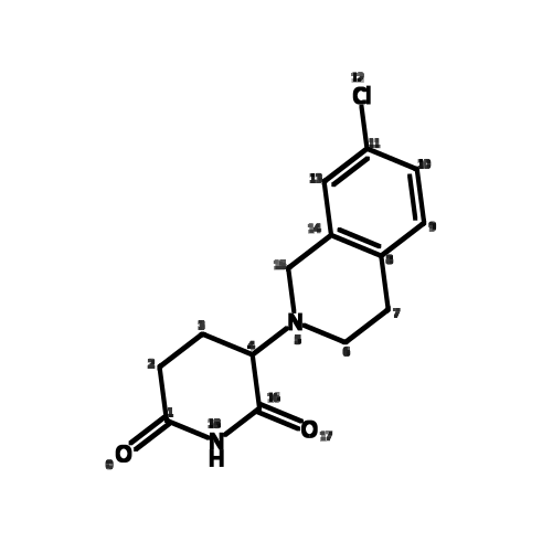 O=C1CCC(N2CCc3ccc(Cl)cc3C2)C(=O)N1